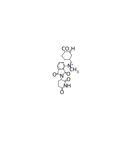 C/[N+](=C/C1CCC(C(=O)O)CC1)c1cccc2c1C(=O)N(C1CCC(=O)NC1=O)C2=O